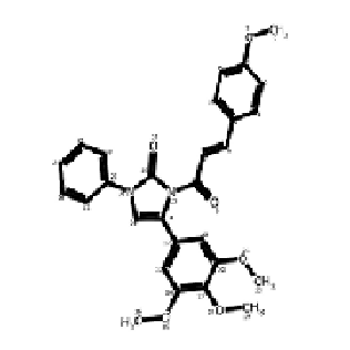 COc1ccc(C=CC(=O)n2c(-c3cc(OC)c(OC)c(OC)c3)cn(-c3ccccc3)c2=O)cc1